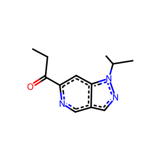 CCC(=O)c1cc2c(cn1)cnn2C(C)C